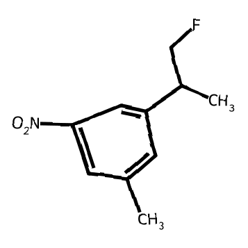 C[C](CF)c1cc(C)cc([N+](=O)[O-])c1